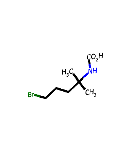 CC(C)(CCCBr)NC(=O)O